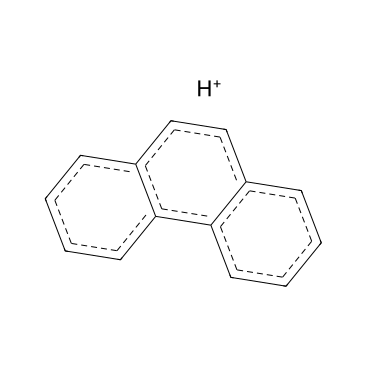 [H+].c1ccc2c(c1)ccc1ccccc12